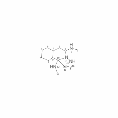 CNC1CC2CCCCC2C([SiH3])(NC)N1NC